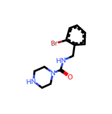 O=C(NCc1ccccc1Br)N1CCNCC1